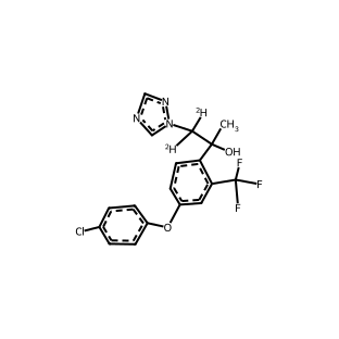 [2H]C([2H])(n1cncn1)C(C)(O)c1ccc(Oc2ccc(Cl)cc2)cc1C(F)(F)F